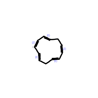 [C]1=C\C=C\C/C=C\C=C\C/C=C/1